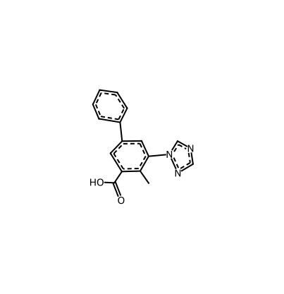 Cc1c(C(=O)O)cc(-c2ccccc2)cc1-n1cncn1